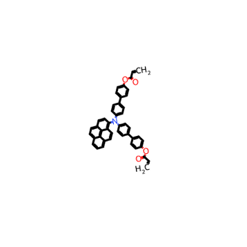 C=CC(=O)Oc1ccc(-c2ccc(N(c3ccc(-c4ccc(OC(=O)C=C)cc4)cc3)c3ccc4ccc5cccc6ccc3c4c56)cc2)cc1